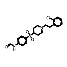 O=CNc1ccc(S(=O)(=O)C2CCN(CCc3ccccc3Cl)CC2)cc1